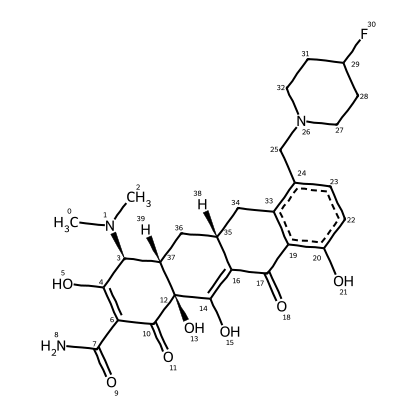 CN(C)[C@@H]1C(O)=C(C(N)=O)C(=O)[C@@]2(O)C(O)=C3C(=O)c4c(O)ccc(CN5CCC(F)CC5)c4C[C@H]3C[C@@H]12